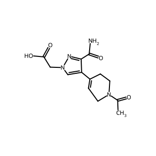 CC(=O)N1CC=C(c2cn(CC(=O)O)nc2C(N)=O)CC1